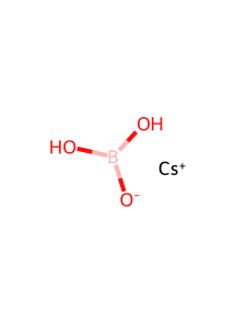 [Cs+].[O-]B(O)O